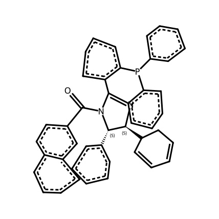 O=C(c1ccc2ccccc2c1)N1C(c2ccccc2P(c2ccccc2)c2ccccc2)=N[C@@H](C2C=CC=CC2)[C@@H]1c1ccccc1